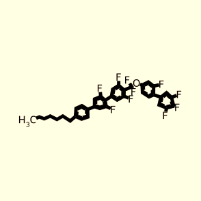 CCCCCCCc1ccc(-c2cc(F)c(-c3cc(F)c(C(F)(F)Oc4ccc(-c5cc(F)c(F)c(F)c5)c(F)c4)c(F)c3)c(F)c2)cc1